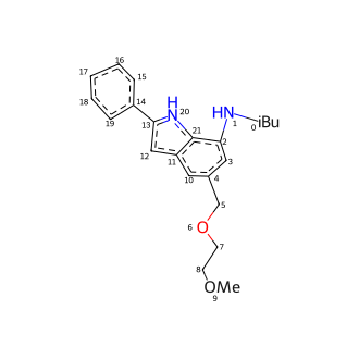 CCC(C)Nc1cc(COCCOC)cc2cc(-c3ccccc3)[nH]c12